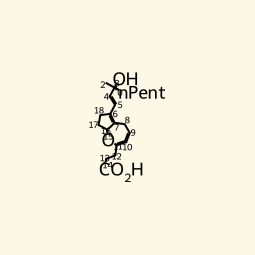 CCCCCC(C)(O)C=CC1=C2CC=C=C(CCC(=O)O)OC2CC1